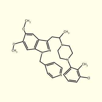 COc1cc2c(CC(C)N3CCN(c4cccc(Cl)c4C)CC3)nn(Cc3ccncc3)c2cc1OC